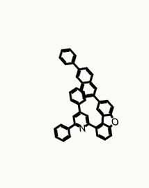 c1ccc(-c2cc(-c3ccccc3)nc(-c3cccc4oc5ccc(-c6ccc7cc(-c8ccccc8)ccc7c6)cc5c34)c2)cc1